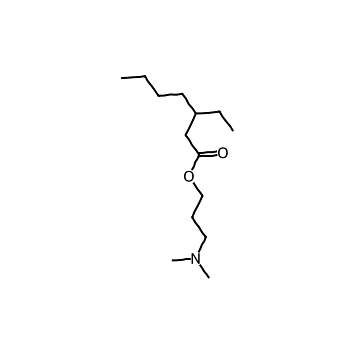 CCCCC(CC)CC(=O)OCCCN(C)C